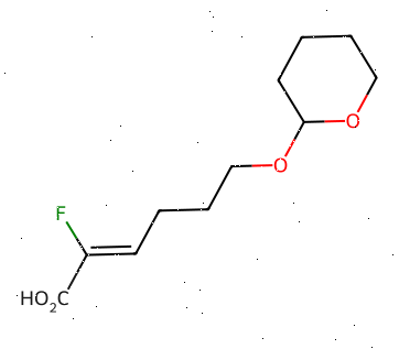 O=C(O)/C(F)=C/CCCOC1CCCCO1